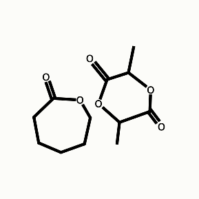 CC1OC(=O)C(C)OC1=O.O=C1CCCCCO1